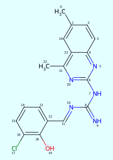 Cc1ccc2nc(NC(=N)N=Cc3cccc(Cl)c3O)nc(C)c2c1